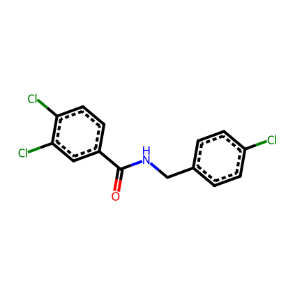 O=C(NCc1ccc(Cl)cc1)c1ccc(Cl)c(Cl)c1